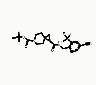 CC(C)(C)OC(=O)N1CCC2(CC1)CC2C(=O)NCc1ccc(C#N)cc1C(F)(F)F